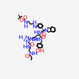 CCC(=O)NCCNC(=O)/N=C(/N)NCCC[C@@H](NC(=O)[C@H](c1cccc(NCCCNC(=O)OC(C)(C)C)c1)N1Cc2ccccc2C1)C(=O)NCc1ccc(O)cc1